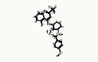 COc1ccc(C(=O)N[C@@H]2CCCC(Nc3cc(C(F)(F)F)nc4cccc(F)c34)C2N)cc1